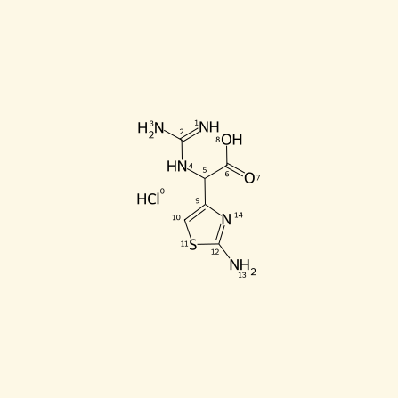 Cl.N=C(N)NC(C(=O)O)c1csc(N)n1